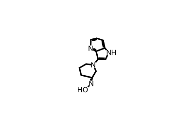 ON=C1CCCN(c2c[nH]c3cccnc23)C1